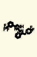 FC1(F)CCN(Cc2nc(-c3nc(-c4cccc(C(F)(F)F)c4)c[nH]3)n3ccccc23)CC1